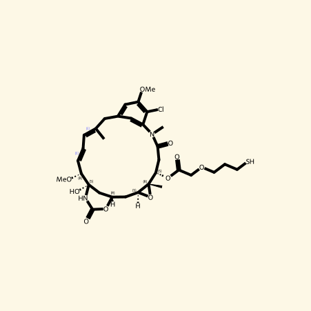 COc1cc2cc(c1Cl)N(C)C(=O)C[C@H](OC(=O)COCCCS)[C@]1(C)O[C@H]1C[C@@H]1C[C@@](O)(NC(=O)O1)[C@H](OC)/C=C/C=C(\C)C2